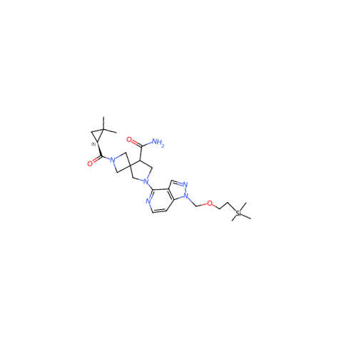 CC1(C)C[C@@H]1C(=O)N1CC2(C1)CN(c1nccc3c1cnn3COCC[Si](C)(C)C)CC2C(N)=O